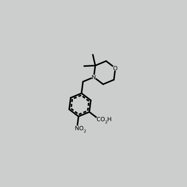 CC1(C)COCCN1Cc1ccc([N+](=O)[O-])c(C(=O)O)c1